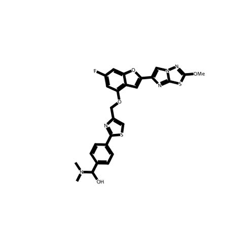 COc1nn2cc(-c3cc4c(OCc5csc(-c6ccc(C(O)N(C)C)cc6)n5)cc(F)cc4o3)nc2s1